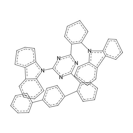 c1ccc(-c2ccc(-c3ccccc3-c3nc(-c4ccccc4-n4c5ccccc5c5ccccc54)nc(-n4c5ccccc5c5ccccc54)n3)cc2)cc1